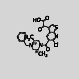 C[C@@H]1CN(Cc2ccccc2)[C@@H](C)CN1C(=O)c1cc2c(C(=O)C(=O)O)csc2nc1Cl